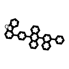 c1ccc(-c2ccc(-c3c4ccccc4c(-c4ccc(-c5cccc6oc7ccccc7c56)cc4)c4ccccc34)c3ccccc23)cc1